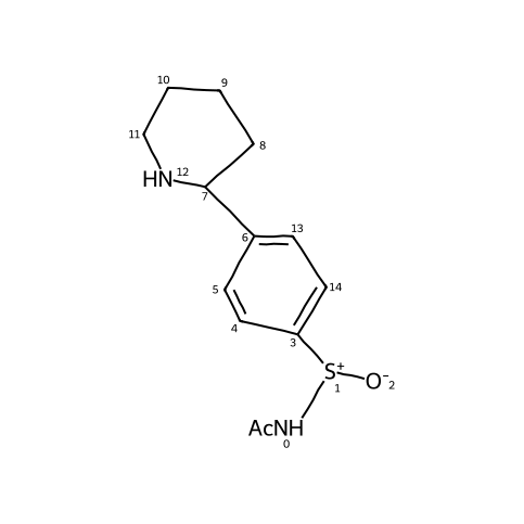 CC(=O)N[S+]([O-])c1ccc(C2CCCCN2)cc1